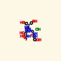 CCC(=O)N[C@H]1C[C@@H](n2cnc3c(NCC(c4ccc(O)cc4)c4ccc(O)cc4)nc(N4CC[C@@H](NC(=O)NCc5cccc(O)c5)C4)nc32)[C@H](O)[C@@H]1O.Cl